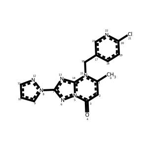 Cc1cc(=O)n2nc(-n3cccn3)nc2n1Cc1ccc(Cl)nc1